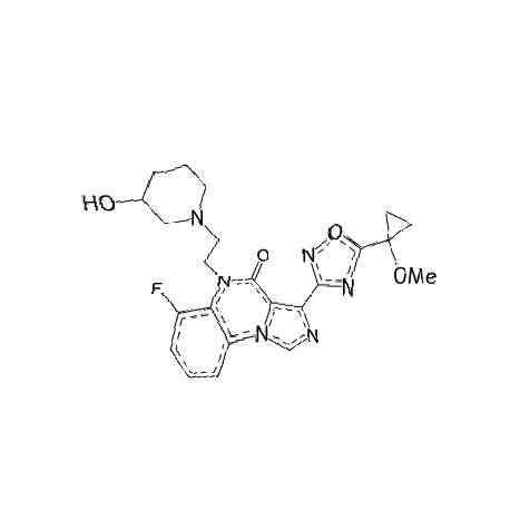 COC1(c2nc(-c3ncn4c3c(=O)n(CCN3CCCC(O)C3)c3c(F)cccc34)no2)CC1